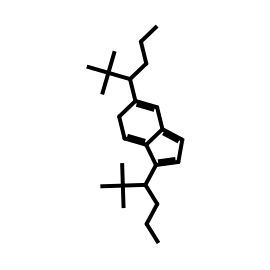 CCCC(C1=CC2=CC=C(C(CCC)C(C)(C)C)C2=CC1)C(C)(C)C